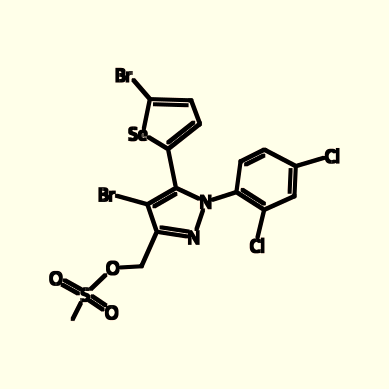 CS(=O)(=O)OCc1nn(-c2ccc(Cl)cc2Cl)c(-c2ccc(Br)[se]2)c1Br